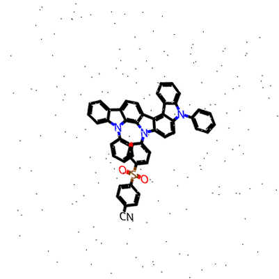 N#Cc1ccc(S(=O)(=O)c2ccc(-n3c4ccc5c(c6ccccc6n5-c5ccccc5)c4c4ccc5c6ccccc6n(-c6ccccc6)c5c43)cc2)cc1